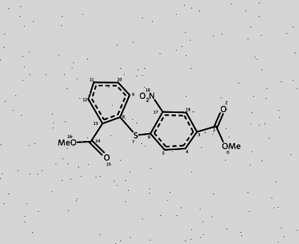 COC(=O)c1ccc(Sc2ccccc2C(=O)OC)c([N+](=O)[O-])c1